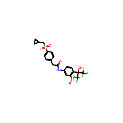 COc1cc(NC(=O)Cc2ccc(S(=O)(=O)CC3CC3)cc2)ccc1C(O)(C(F)(F)F)C(F)(F)F